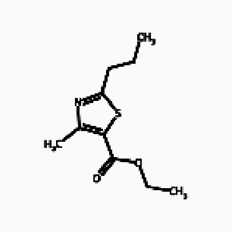 CCCc1nc(C)c(C(=O)OCC)s1